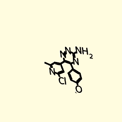 COc1ccc(-c2nc(N)nnc2-c2cc(C)nc(Cl)c2)cc1